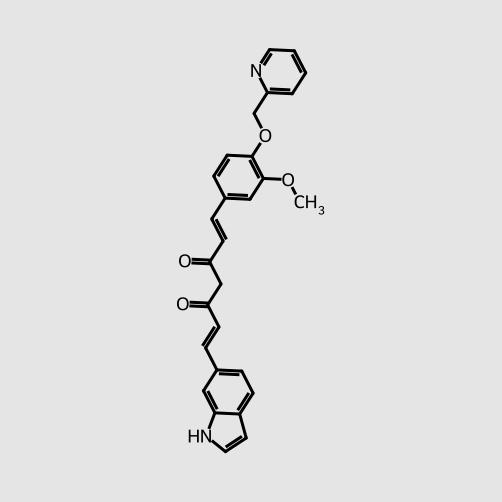 COc1cc(/C=C/C(=O)CC(=O)/C=C/c2ccc3cc[nH]c3c2)ccc1OCc1ccccn1